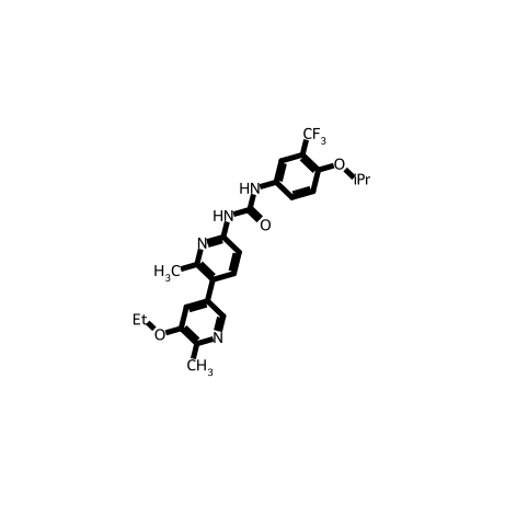 CCOc1cc(-c2ccc(NC(=O)Nc3ccc(OC(C)C)c(C(F)(F)F)c3)nc2C)cnc1C